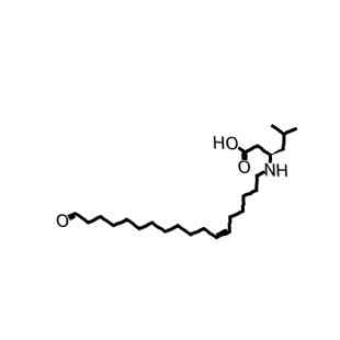 CC(C)C[C@H](CC(=O)O)NCCCCC/C=C\CCCCCCCCCCC=O